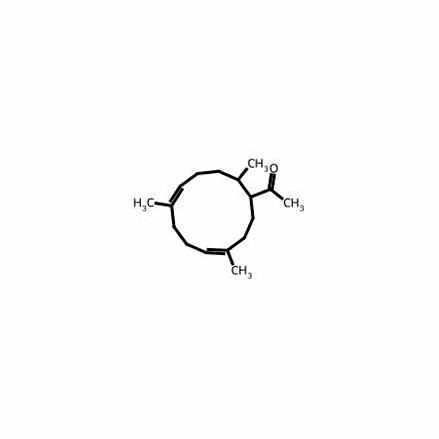 CC(=O)C1CCC(C)=CCCC(C)=CCCC1C